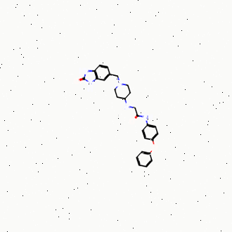 CN(CC(=O)Nc1ccc(Oc2ccccc2)cc1)C1CCN(Cc2ccc3[nH]c(=O)[nH]c3c2)CC1